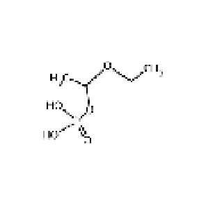 CCOC(C)OP(=O)(O)O